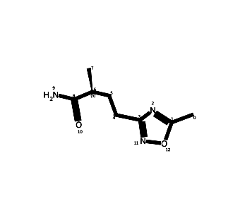 Cc1nc([CH]C[C@H](C)C(N)=O)no1